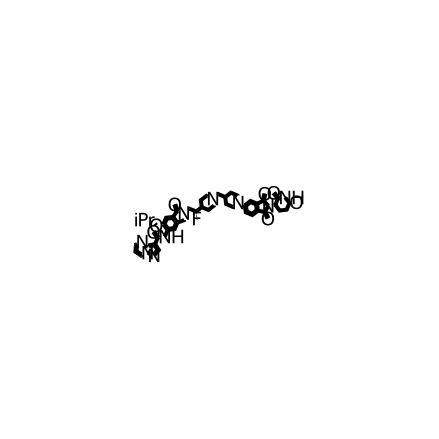 CC(C)Oc1cc2c(cc1NC(=O)c1cnn3cccnc13)CN(C[C@@H](F)C1CCN(CC3CCN(c4ccc5c(c4)C(=O)N(C4CCC(=O)NC4=O)C5=O)CC3)CC1)C2=O